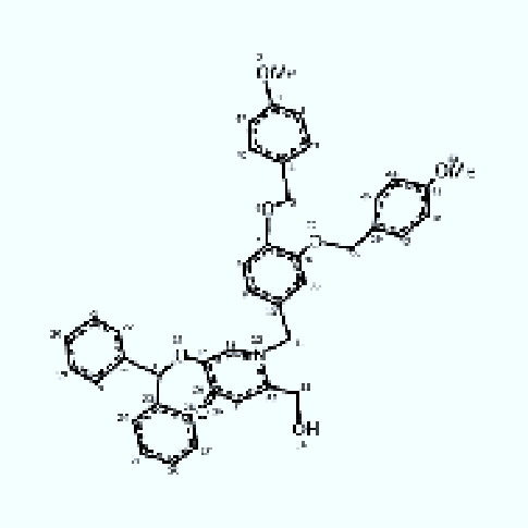 COc1ccc(COc2ccc(Cn3cc(OC(c4ccccc4)c4ccccc4)c(=O)cc3CO)cc2OCc2ccc(OC)cc2)cc1